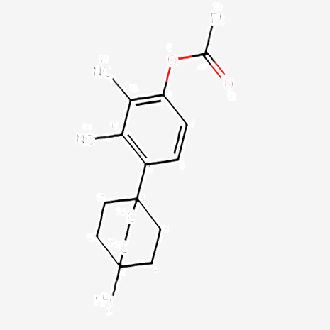 CCCC12CCC(c3ccc(OC(=O)CC)c(C#N)c3C#N)(CC1)CC2